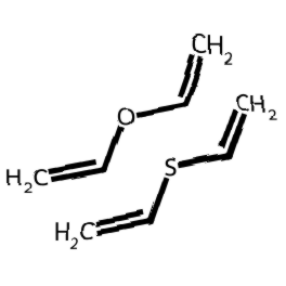 C=COC=C.C=CSC=C